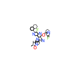 C=CC(=O)N1CC[C@@H]2[C@H]1CN2c1c(C#N)c(OC[C@@]23CCCN2C[C@H](F)C3)nc2c(F)c(-c3cccc4c3CCCC4)ncc12